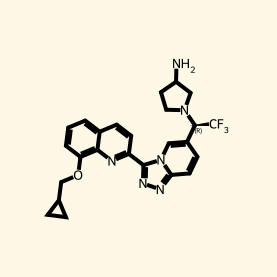 NC1CCN([C@H](c2ccc3nnc(-c4ccc5cccc(OCC6CC6)c5n4)n3c2)C(F)(F)F)C1